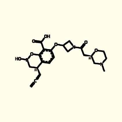 C=C=C[C@H]1CB(O)Oc2c1ccc(OC1CN(C(=O)C[C@@H]3CN(C)CCO3)C1)c2C(=O)O